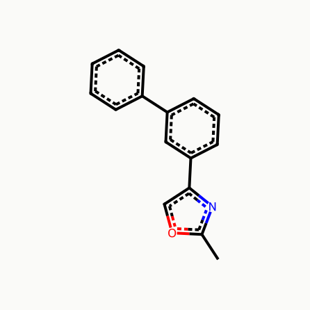 Cc1nc(-c2cccc(-c3ccccc3)c2)co1